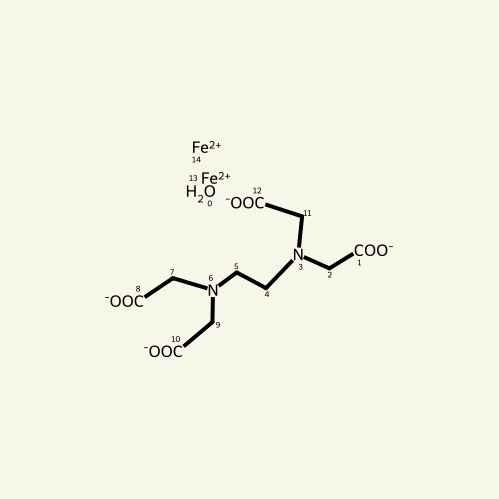 O.O=C([O-])CN(CCN(CC(=O)[O-])CC(=O)[O-])CC(=O)[O-].[Fe+2].[Fe+2]